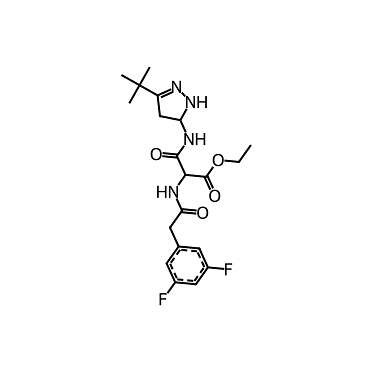 CCOC(=O)C(NC(=O)Cc1cc(F)cc(F)c1)C(=O)NC1CC(C(C)(C)C)=NN1